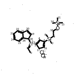 C[CH]=[Zr+2]([C]1=CC([Si](C)(C)CCO[Si](C)(C)C)=CC1)[CH]1C=Cc2ccccc21.[Cl-].[Cl-]